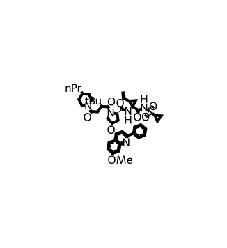 C=CC1CC1(NC(=O)[C@@H]1C[C@@H](Oc2cc(-c3ccccc3)nc3cc(OC)ccc23)CN1C(=O)C(CC(=O)N1CCC(CCC)CC1)C(C)(C)C)C(=O)NS(=O)(=O)C1CC1